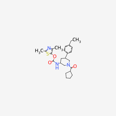 CCc1ccc(C2CC(NC(=O)Oc3sc(C)nc3C)CN(C(=O)C3CCCC3)C2)cc1